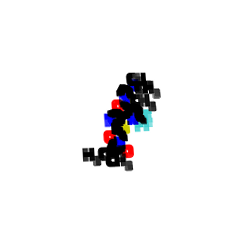 Cc1cc(C(F)(F)F)nc(-c2ccnc3cc(CN4C(=O)C5C(C4=O)C5(C)C)sc23)c1C(=O)N1CCC(N(C)C)C1